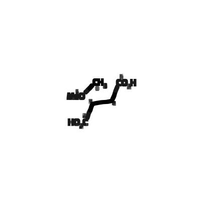 COC.O=C(O)CCC(=O)O